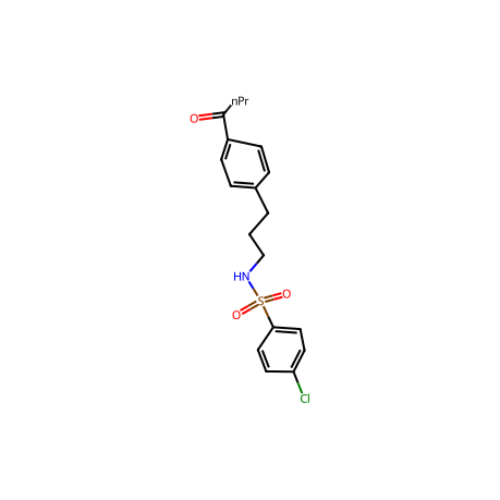 CCCC(=O)c1ccc(CCCNS(=O)(=O)c2ccc(Cl)cc2)cc1